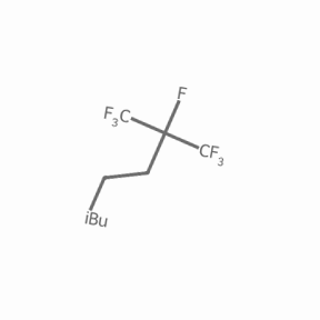 CCC(C)CCC(F)(C(F)(F)F)C(F)(F)F